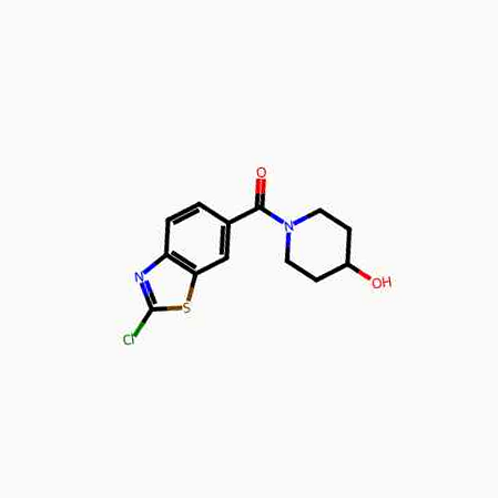 O=C(c1ccc2nc(Cl)sc2c1)N1CCC(O)CC1